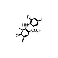 Cn1c(Nc2ccc(I)cc2F)c(C(=O)O)cc(F)c1=O